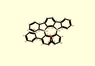 C1=CC2c3ccc4c5ccccc5n(-c5ccccc5)c4c3N(c3ccccc3-c3ccccc3)C2C=C1